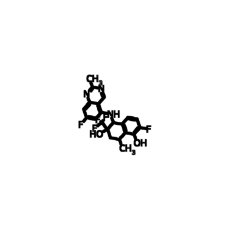 Cc1ncc2c(NC3c4ccc(F)c(O)c4C(C)CC3(O)C(F)(F)F)cc(F)cc2n1